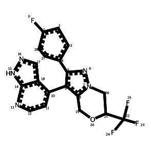 Fc1ccc(-c2nn3c(c2-c2ccnc4[nH]ncc24)COC(C(F)(F)F)C3)cc1